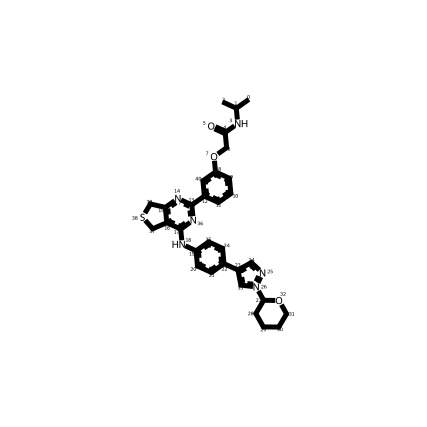 CC(C)NC(=O)COc1cccc(-c2nc3c(c(Nc4ccc(-c5cnn(C6CCCCO6)c5)cc4)n2)CSC3)c1